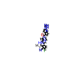 Cc1c([C@@H]2CN3CCN(C(=O)C4CCc5nc(-n6cnnn6)ccc54)C[C@H]3CN2)ccc(F)c1C#N